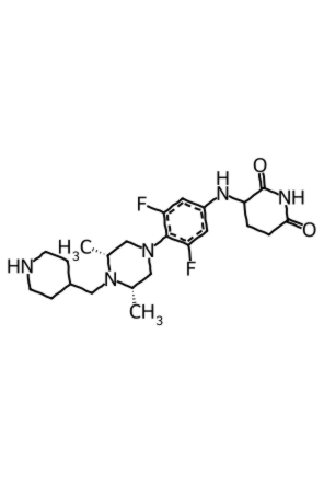 C[C@@H]1CN(c2c(F)cc(NC3CCC(=O)NC3=O)cc2F)C[C@H](C)N1CC1CCNCC1